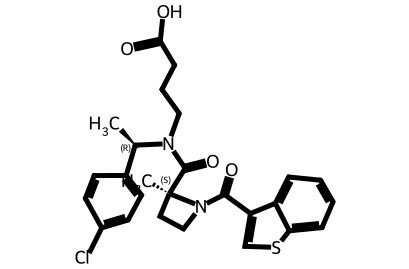 C[C@H](c1ccc(Cl)cc1)N(CCCC(=O)O)C(=O)[C@]1(C)CCN1C(=O)c1csc2ccccc12